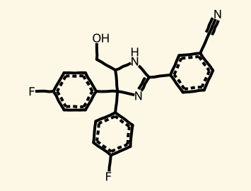 N#Cc1cccc(C2=NC(c3ccc(F)cc3)(c3ccc(F)cc3)C(CO)N2)c1